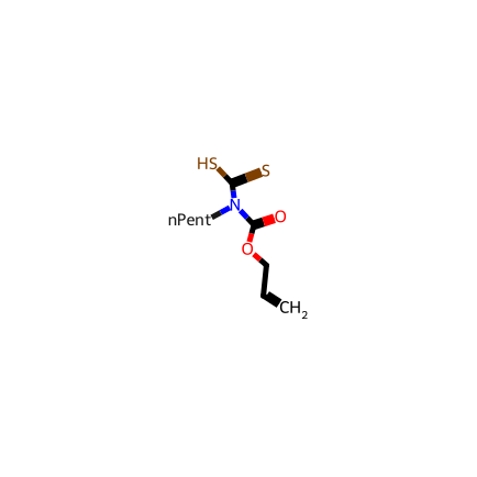 C=CCOC(=O)N(CCCCC)C(=S)S